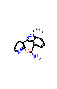 Cn1nc(-c2cccnc2)c2c(C(N)=O)cccc21